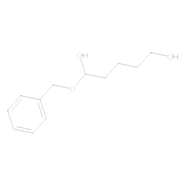 OCCCCC(O)OCc1ccccc1